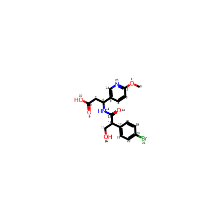 COc1ccc(C(CC(=O)O)NC(=O)C(CO)c2ccc(Br)cc2)cn1